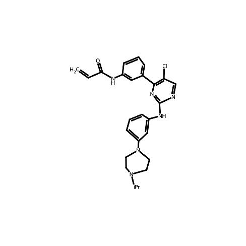 C=CC(=O)Nc1cccc(-c2nc(Nc3cccc(N4CCN(C(C)C)CC4)c3)ncc2Cl)c1